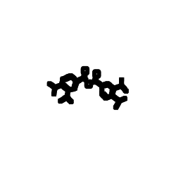 CC(C)c1ccc(C(=O)OC(=O)c2ccc(C(C)C)c(C(C)C)c2)cc1C(C)C